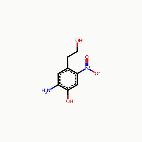 Nc1cc(CCO)c([N+](=O)[O-])cc1O